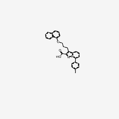 Cc1ccc(-c2cccc3c(CCCOc4cccc5ccccc45)c(C(=O)O)nn23)cc1